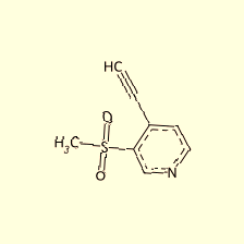 C#Cc1ccncc1S(C)(=O)=O